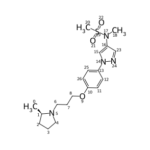 C[C@@H]1CCCN1CCCOc1ccc(-n2cc(N(C)S(C)(=O)=O)cn2)cc1